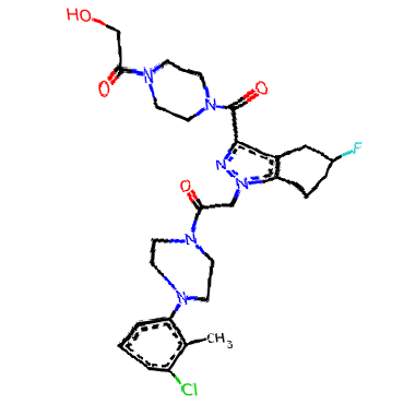 Cc1c(Cl)cccc1N1CCN(C(=O)Cn2nc(C(=O)N3CCN(C(=O)CO)CC3)c3c2CCC(F)C3)CC1